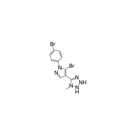 CN1NNN=C1c1cnn(-c2ccc(Br)cc2)c1Br